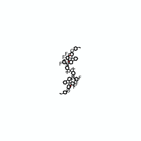 C=Cc1ccc(Oc2ccc(C3(c4c(F)c(F)c(F)c(F)c4F)c4ccccc4-c4ccc(N(c5cccc(F)c5)c5ccc6c(c5)C5(CC6(C)C)CC(C)(C)c6ccc(N(c7cccc(F)c7)c7ccc8c(c7)C(c7ccc(Oc9ccc(C=C)cc9)cc7)(c7c(F)c(F)c(F)c(F)c7F)c7ccccc7-8)cc65)cc43)cc2)cc1